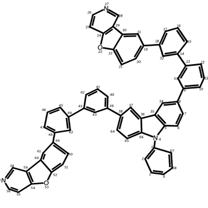 c1ccc(-n2c3ccc(-c4cccc(-c5cccc(-c6ccc7oc8ccncc8c7c6)c5)c4)cc3c3cc(-c4cccc(-c5cccc(-c6ccc7oc8ccncc8c7c6)c5)c4)ccc32)cc1